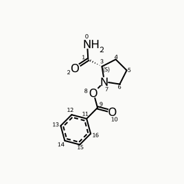 NC(=O)[C@@H]1CCCN1OC(=O)c1ccccc1